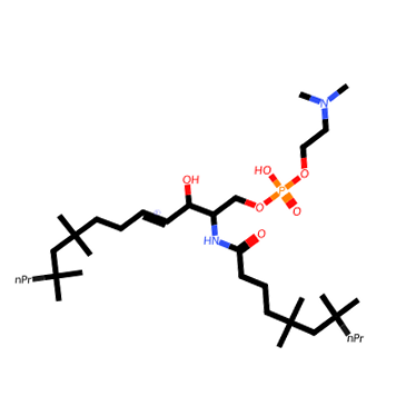 CCCC(C)(C)CC(C)(C)CC/C=C/C(O)C(COP(=O)(O)OCCN(C)C)NC(=O)CCCC(C)(C)CC(C)(C)CCC